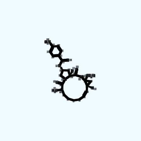 CCOC(=O)[C@@]12C[C@H]1/C=C\CCCCN(C)C(=O)N1C[C@H](OC(=O)c3ccc([N+](=O)[O-])cc3)C[C@H]1C(=O)N2